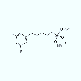 CCCO[Si](CCCCCc1cc(F)cc(F)c1)(OCCC)OCCC